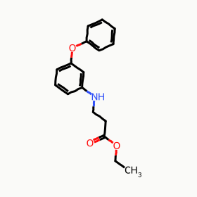 CCOC(=O)CCNc1cccc(Oc2ccccc2)c1